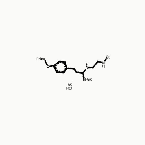 CCCCCCOc1ccc(CCC(CCCCCC)NCCNCC)cc1.Cl.Cl